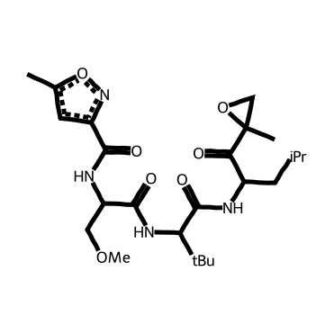 COCC(NC(=O)c1cc(C)on1)C(=O)NC(C(=O)NC(CC(C)C)C(=O)C1(C)CO1)C(C)(C)C